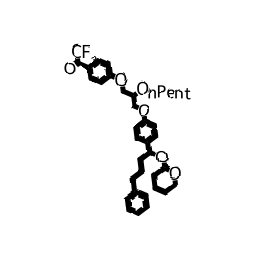 CCCCCOC(COc1ccc(C(=O)C(F)(F)F)cc1)COc1ccc(C(CCCc2ccccc2)OC2CCCCO2)cc1